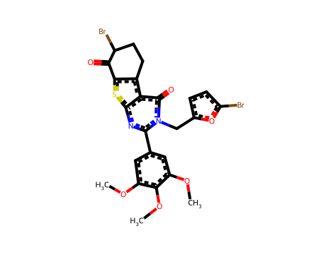 COc1cc(-c2nc3sc4c(c3c(=O)n2Cc2ccc(Br)o2)CCC(Br)C4=O)cc(OC)c1OC